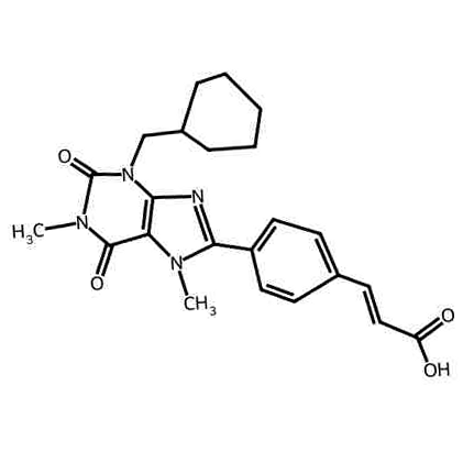 Cn1c(=O)c2c(nc(-c3ccc(C=CC(=O)O)cc3)n2C)n(CC2CCCCC2)c1=O